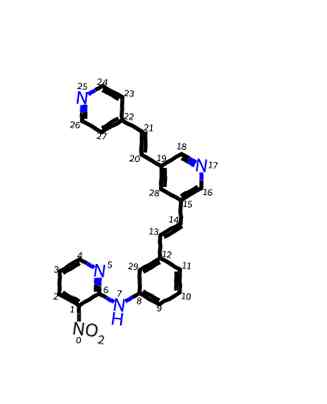 O=[N+]([O-])c1cccnc1Nc1cccc(C=Cc2cncc(C=Cc3ccncc3)c2)c1